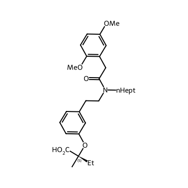 CCCCCCCN(CCc1cccc(O[C@@](C)(CC)C(=O)O)c1)C(=O)Cc1cc(OC)ccc1OC